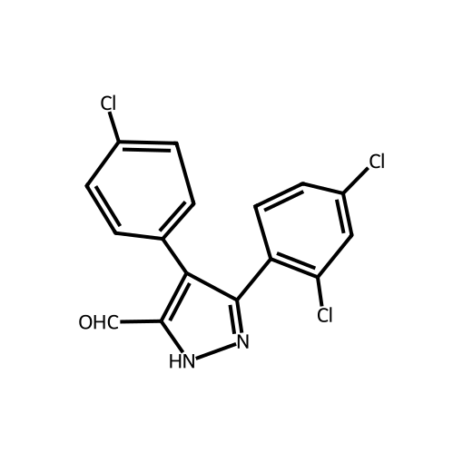 O=Cc1[nH]nc(-c2ccc(Cl)cc2Cl)c1-c1ccc(Cl)cc1